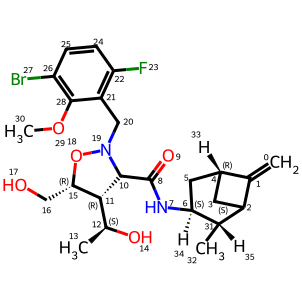 C=C1C2C[C@@H]1C[C@H](NC(=O)C1[C@H]([C@H](C)O)[C@H](CO)ON1Cc1c(F)ccc(Br)c1OC)[C@H]2C